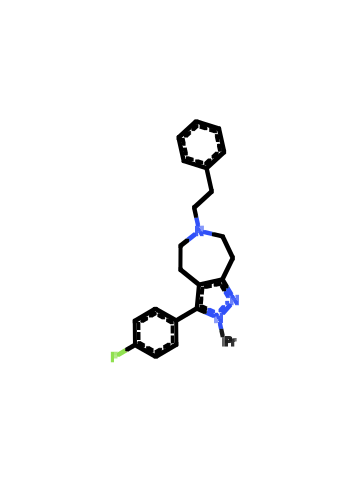 CC(C)n1nc2c(c1-c1ccc(F)cc1)CCN(CCc1ccccc1)CC2